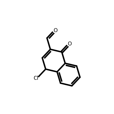 O=CC1=CC(Cl)c2ccccc2C1=O